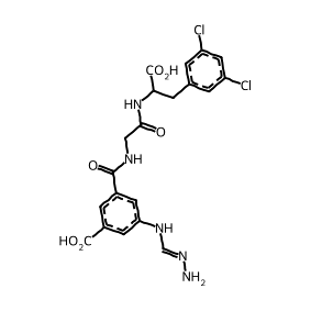 NN=CNc1cc(C(=O)O)cc(C(=O)NCC(=O)NC(Cc2cc(Cl)cc(Cl)c2)C(=O)O)c1